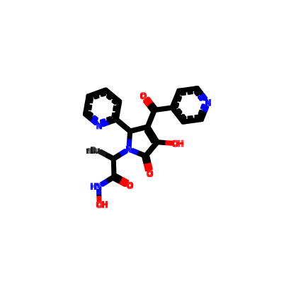 CCCCC(C(=O)NO)N1C(=O)C(O)=C(C(=O)c2ccncc2)C1c1ccccn1